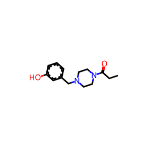 CCC(=O)N1CCN(Cc2cccc(O)c2)CC1